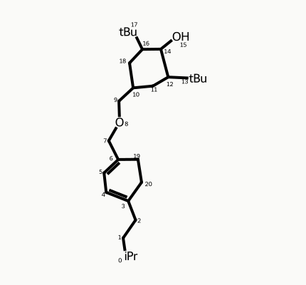 CC(C)CCC1=CC=C(COCC2CC(C(C)(C)C)C(O)C(C(C)(C)C)C2)CC1